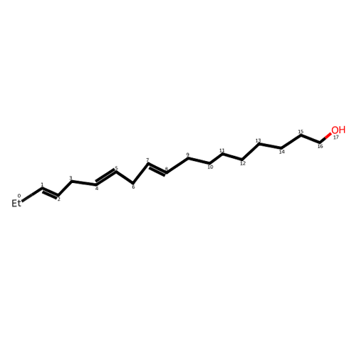 CCC=CCC=CC/C=C/CCCCCCCCO